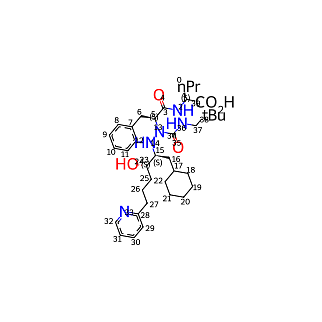 CCC[C@H](NC(=O)[C@H](Cc1ccccc1)N(N[C@@H](CC1CCCCC1)[C@@H](O)CCCc1ccccn1)C(=O)NCC(C)(C)C)C(=O)O